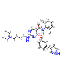 CCN(CC)CCCCNc1ncc(C(=O)Nc2c(C)cccc2C)c(Oc2cccc(-c3cc[nH]n3)c2)n1